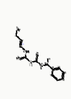 CC(C)C/C=N/NC(=N)NC(=O)NC(C)c1ccccc1